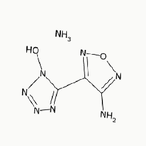 N.Nc1nonc1-c1nnnn1O